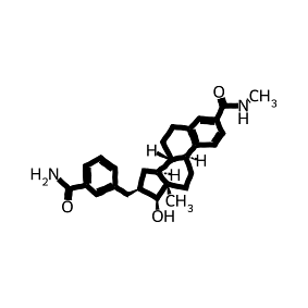 CNC(=O)c1ccc2c(c1)CC[C@@H]1[C@@H]2CC[C@]2(C)[C@@H](O)[C@@H](Cc3cccc(C(N)=O)c3)C[C@@H]12